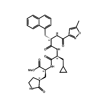 COC(=O)[C@H](C[C@@H]1CCNC1=O)NC(=O)[C@H](CC1CC1)NC(=O)[C@H](Cc1cccc2ccccc12)NC(=O)c1cc(C)on1